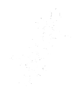 Cc1ccc(N(c2ccc3c4c5c(ccc24)C=CC(N(c2ccc(C)cn2)c2cccc4c2oc2ccccc24)C5=CC3)c2cccc3c2oc2ccccc23)nc1